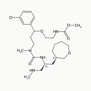 CNC[C@H](C[C@H]1CCCCOC1)NC(=O)N(C)CCC(OCCNC(=O)OC)c1cccc(Cl)c1